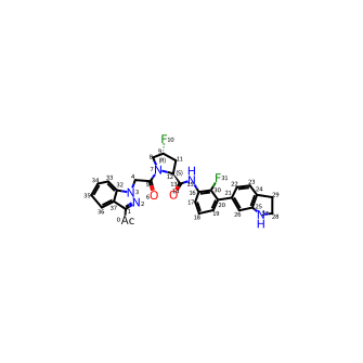 CC(=O)c1nn(CC(=O)N2C[C@H](F)C[C@H]2C(=O)Nc2cccc(-c3ccc4c(c3)NCC4)c2F)c2ccccc12